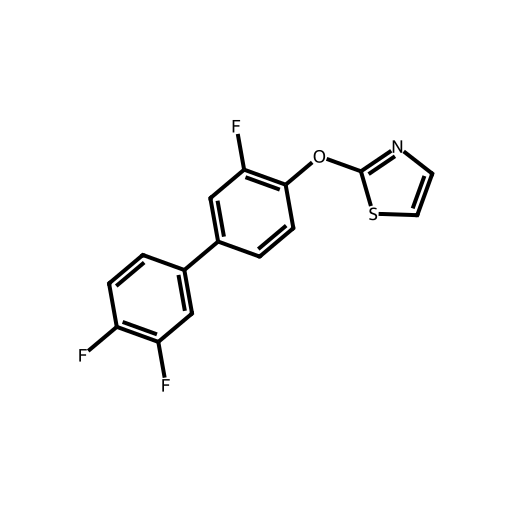 Fc1ccc(-c2ccc(Oc3nccs3)c(F)c2)cc1F